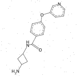 NC1CC(NC(=O)c2ccc(Oc3cccnc3)cc2)C1